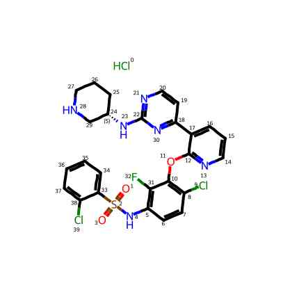 Cl.O=S(=O)(Nc1ccc(Cl)c(Oc2ncccc2-c2ccnc(N[C@H]3CCCNC3)n2)c1F)c1ccccc1Cl